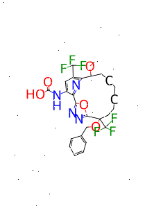 COC1CCCCCCC(OCc2ccccc2)(C(F)(F)F)c2nnc(o2)-c2nc1c(C(F)(F)F)cc2NC(=O)O